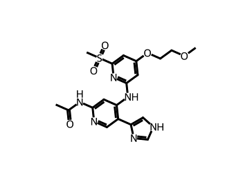 COCCOc1cc(Nc2cc(NC(C)=O)ncc2-c2c[nH]cn2)nc(S(C)(=O)=O)c1